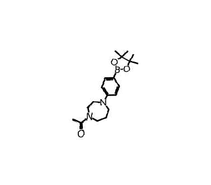 CC(=O)N1CCCN(c2ccc(B3OC(C)(C)C(C)(C)O3)cc2)CC1